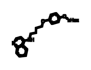 CCCCCCOc1ccc(OCCCCNc2ccnc3ccccc23)cc1